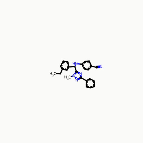 CCc1cccc(C(Nc2ccc(C#N)cc2)c2nc(-c3ccccc3)nn2C)c1